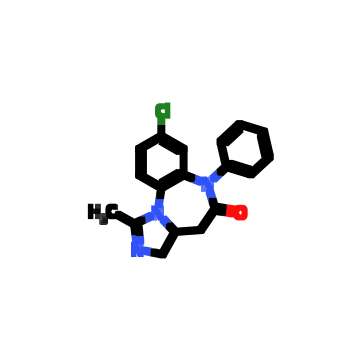 CC1=NCC2CC(=O)N(c3ccccc3)c3cc(Cl)ccc3N12